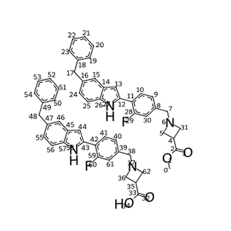 COC(=O)C1CN(Cc2ccc(-c3cc4cc(Cc5ccccc5)ccc4[nH]3)c(F)c2)C1.O=C(O)C1CN(Cc2ccc(-c3cc4cc(Cc5ccccc5)ccc4[nH]3)c(F)c2)C1